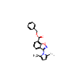 Cc1ccc(C)n1-c1noc2c(C(=O)OCc3ccccc3)cccc12